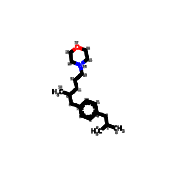 CC(C)Cc1ccc(CC(C)CCCN2CCOCC2)cc1